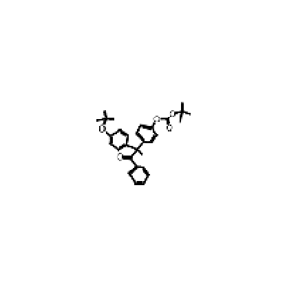 CC(C)(C)OC(=O)Oc1ccc(C(C)(C(=O)c2ccccc2)c2ccc(OC(C)(C)C)cc2)cc1